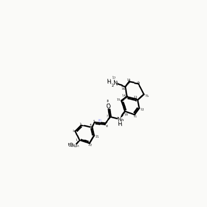 CC(C)(C)c1ccc(/C=C/C(=O)Nc2ccc3c(c2)C(N)CCC3)cc1